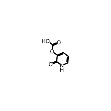 O=C(O)Oc1ccc[nH]c1=O